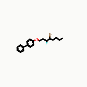 CCCCC(Br)C(F)CCOc1ccc(-c2ccccc2)cc1